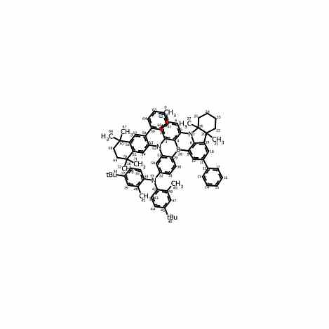 Cc1cc2c3c(c1)N1c4c(cc(-c5ccccc5)cc4C4(C)CCCCC14C)B3c1ccc(N(c3ccc(C(C)(C)C)cc3C)c3ccc(C(C)(C)C)cc3C)cc1N2c1cc2c(cc1-c1ccccc1)C(C)(C)CCC2(C)C